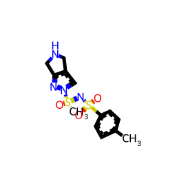 Cc1ccc(S(=O)(=O)N=S(C)(=O)n2cc3c(n2)CNC3)cc1